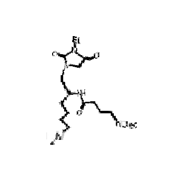 CCCCCCCCCCCCCC(=O)N[C@@H](CCCCN)CN1CC(=O)N(CC)C1=O